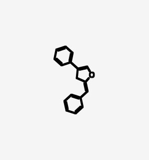 C(=C1CC(c2ccccc2)=CO1)c1ccccc1